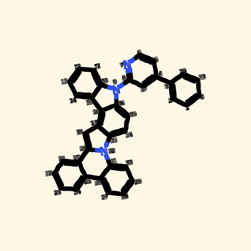 c1ccc(-c2ccnc(-n3c4ccccc4c4c5cc6c7ccccc7c7ccccc7n6c5ccc43)c2)cc1